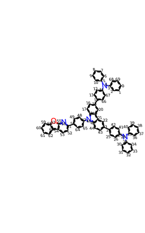 c1ccc(N(c2ccccc2)c2ccc(-c3ccc4c(c3)c3cc(-c5ccc(N(c6ccccc6)c6ccccc6)cc5)ccc3n4-c3ccc(-c4ccc5c(n4)oc4ccccc45)cc3)cc2)cc1